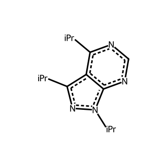 CC(C)c1ncnc2c1c(C(C)C)nn2C(C)C